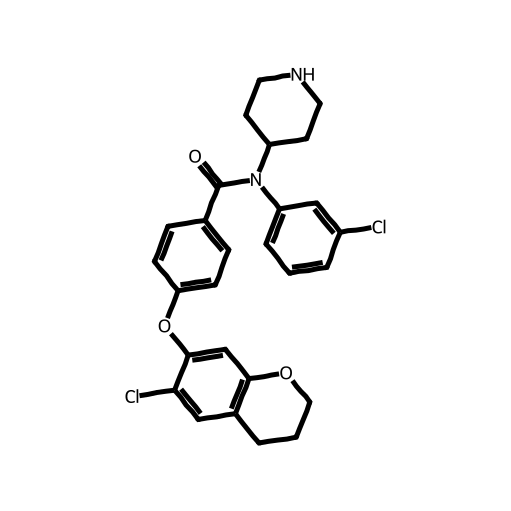 O=C(c1ccc(Oc2cc3c(cc2Cl)CCCO3)cc1)N(c1cccc(Cl)c1)C1CCNCC1